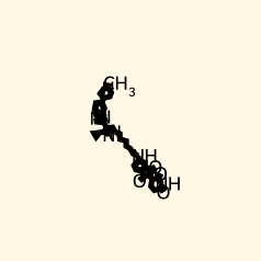 CN1CCC(c2ccc3ncc(-c4cn(CCCCCCNc5ccc6c(c5)C(=O)N(C5CCC(=O)NC5=O)C6=O)nc4C4CC4)nc3c2)CC1